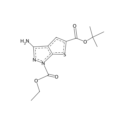 CCOC(=O)n1nc(N)c2cc(C(=O)OC(C)(C)C)sc21